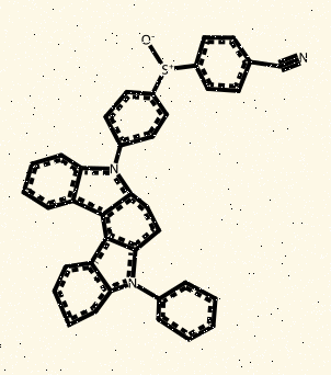 N#Cc1ccc([S+]([O-])c2ccc(-n3c4ccccc4c4c5c6ccccc6n(-c6ccccc6)c5ccc43)cc2)cc1